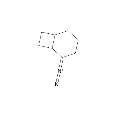 [N-]=[N+]=C1CCCC2CCC12